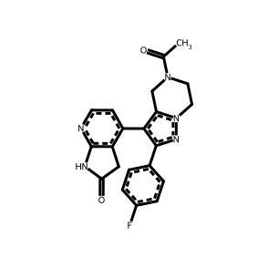 CC(=O)N1CCn2nc(-c3ccc(F)cc3)c(-c3ccnc4c3CC(=O)N4)c2C1